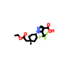 CCOC(=O)C[C@]1(C)CC[C@H](n2ncc(C(=O)O)c2C(F)(F)F)CC1